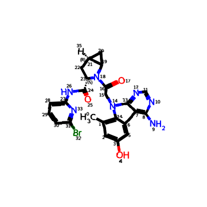 Cc1cc(O)cc2c3c(N)ncnc3n(CC(=O)N3C4C[C@@H]4C[C@H]3C(=O)Nc3cccc(Br)n3)c12